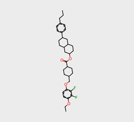 CCCc1ccc(C2CCC3CC(OC(=O)C4CCC(COc5ccc(OCC)c(F)c5F)CC4)CCC3C2)cc1